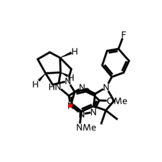 CNc1nc(N[C@H]2[C@@H]3CC[C@H]2CN(c2cnnc(OC)c2)C3)nc2c1C(C)(C)CN2c1ccc(F)cc1